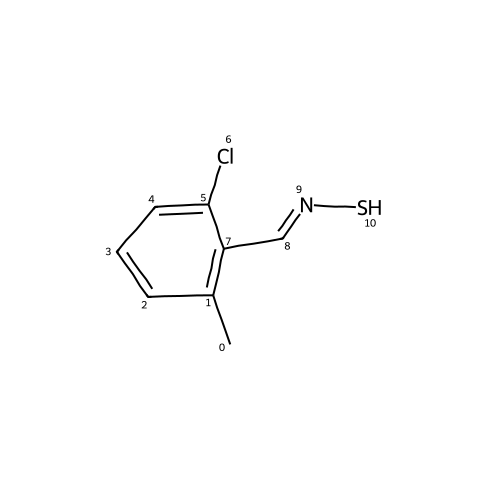 Cc1cccc(Cl)c1C=NS